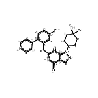 CC1(F)CCC(n2ncc3c(=O)[nH]c(Cc4cc(F)ccc4-c4ccncc4)nc32)CC1